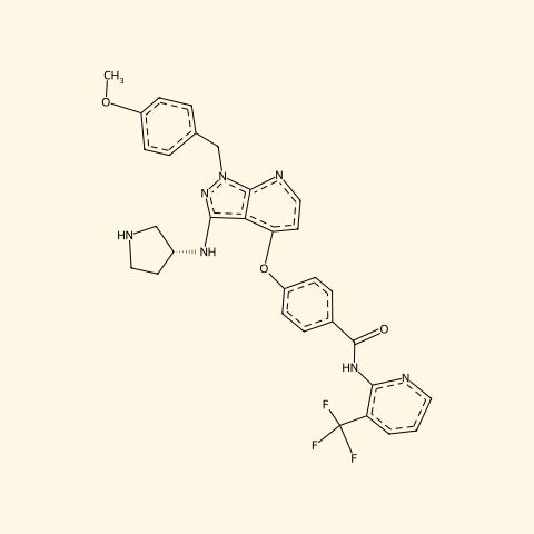 COc1ccc(Cn2nc(N[C@@H]3CCNC3)c3c(Oc4ccc(C(=O)Nc5ncccc5C(F)(F)F)cc4)ccnc32)cc1